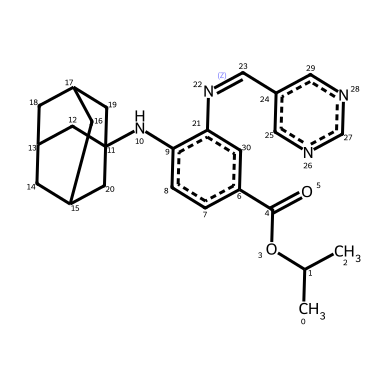 CC(C)OC(=O)c1ccc(NC23CC4CC(CC(C4)C2)C3)c(/N=C\c2cncnc2)c1